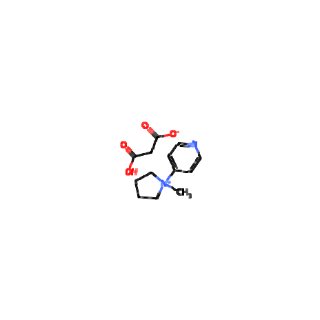 C[N+]1(c2ccncc2)CCCC1.O=C([O-])CC(=O)O